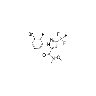 CON(C)C(=O)c1cc(C(F)(F)F)nn1-c1cccc(Br)c1F